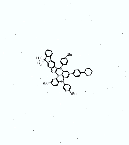 CC(C)(C)c1ccc(N2c3ccc(C(C)(C)C)cc3N3c4sc5cc6c(cc5c4N(c4ccc(C(C)(C)C)cc4)c4cc(-c5ccc(C7CCCCC7)cc5)cc2c43)-c2ccccc2C6(C)C)cc1